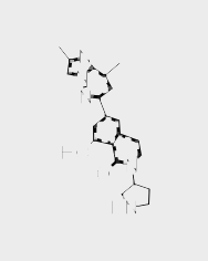 Cc1cn2nc(-c3cc(O)c4c(=O)n(C5CCNC5)ccc4c3)cc(C)c2n1